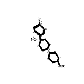 CCCCC1CCC([C@H]2CC[C@](C#N)(c3ccc(CC)cc3)CC2)CC1